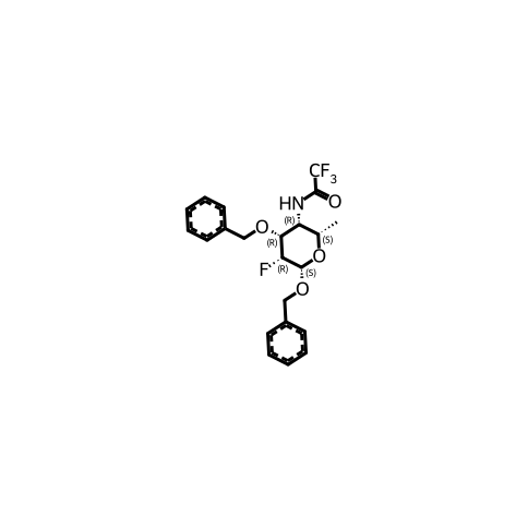 C[C@@H]1O[C@H](OCc2ccccc2)[C@H](F)[C@H](OCc2ccccc2)[C@@H]1NC(=O)C(F)(F)F